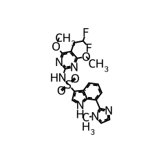 COc1nc(NS(=O)(=O)c2c[nH]c3c(-c4nccn4C)cccc23)nc(OC)c1CC(F)F